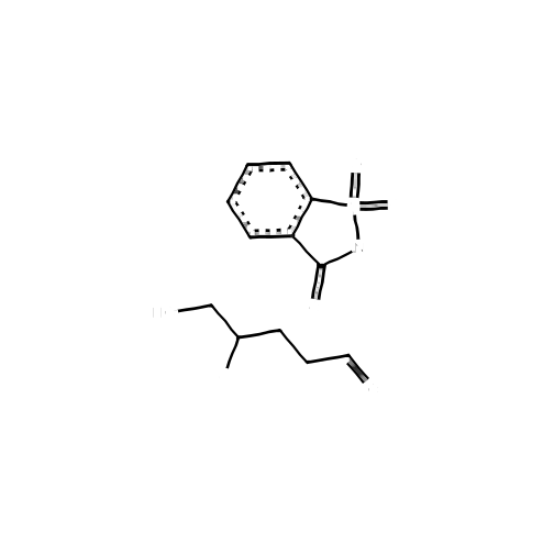 O=C1NS(=O)(=O)c2ccccc21.O=CCCC(O)CO